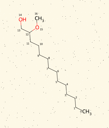 CCCCCCCCCCCCC(CO)OC